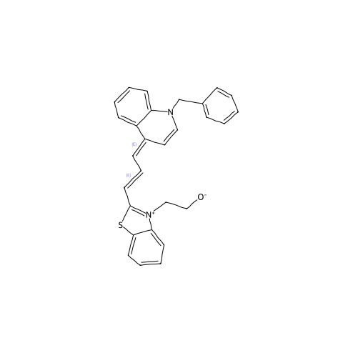 [O-]CC[n+]1c(/C=C/C=C2\C=CN(Cc3ccccc3)c3ccccc32)sc2ccccc21